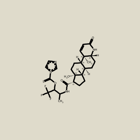 CC(NC(=O)[C@H]1CC[C@H]2[C@@H]3CC[C@H]4NC(=O)C=C[C@]4(C)[C@H]3CC[C@]12C)C(OC(=S)n1ccnc1)C(F)(F)F